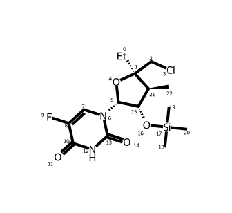 CC[C@@]1(CCl)O[C@@H](n2cc(F)c(=O)[nH]c2=O)[C@@H](O[Si](C)(C)C)[C@@H]1C